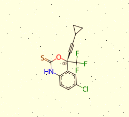 FC(F)(F)[C@@]1(C#CC2CC2)OC(=S)Nc2ccc(Cl)cc21